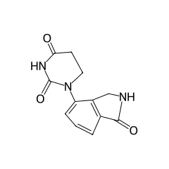 O=C1CCN(c2cccc3c2CNC3=O)C(=O)N1